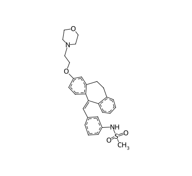 CS(=O)(=O)Nc1cccc(/C=C2\c3ccccc3CCc3cc(OCCN4CCOCC4)ccc32)c1